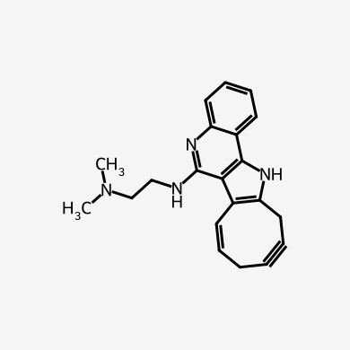 CN(C)CCNc1nc2ccccc2c2[nH]c3c(c12)/C=C\CC#CC3